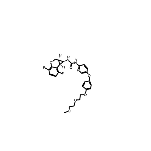 COCCOCCOc1ccc(Oc2ccc(NC(=O)N[C@@H]3[C@@H]4COc5c(F)ccc(F)c5[C@@H]43)nc2)cc1